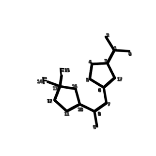 CC(C)C1CCC(CC(C)C2CCC(F)(F)C2)C1